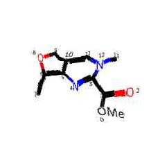 COC(=O)C1=NC2=C(C)OCC2=CN1C